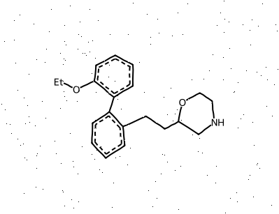 CCOc1ccccc1-c1ccccc1CCC1CNCCO1